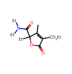 CCOC(=O)C1=C(C)C(CC)(C(=O)N(CC)CC)OC1=O